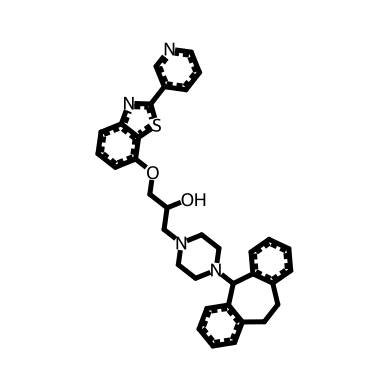 OC(COc1cccc2nc(-c3cccnc3)sc12)CN1CCN(C2c3ccccc3CCc3ccccc32)CC1